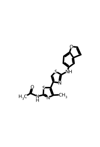 CC(=O)Nc1nc(C)c(-c2csc(Nc3ccc4occc4c3)n2)s1